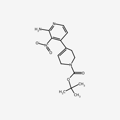 CC(C)(C)OC(=O)N1CC=C(c2ccnc(N)c2[N+](=O)[O-])CC1